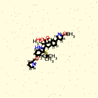 CCC(CC)(C(=O)O)C(Cc1ccc(-c2ccc(OC)nc2)cc1)c1[nH]c2ccc(OCc3ccccn3)cc2c1SC(C)(C)C